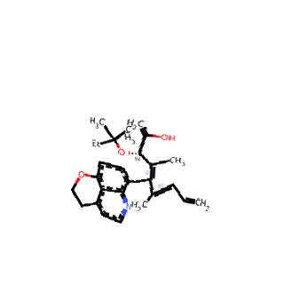 C=C/C=C(C)/C(=C(\C)[C@H](OC(C)(C)CC)C(=C)O)c1ccc2c3c(ccnc13)CCO2